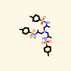 Cc1ccc(S(=O)(=O)NC(C)CN(CC(C)NS(=O)(=O)c2ccc(C)cc2)CC(C)NS(=O)(=O)c2ccc(C)cc2)cc1